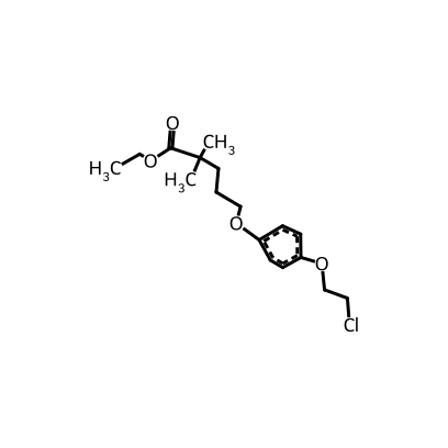 CCOC(=O)C(C)(C)CCCOc1ccc(OCCCl)cc1